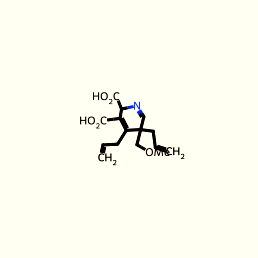 C=CCC1=C(C(=O)O)C(C(=O)O)N=CC1(CC=C)COC